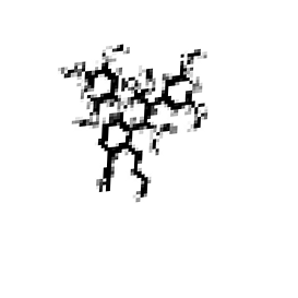 CCCCc1c(C#N)ccc2c1C(N(C)C)=C(c1cc(OC)nc(OC)c1)C(O)(OC)N2c1cc(OC)c(OC)nc1OC